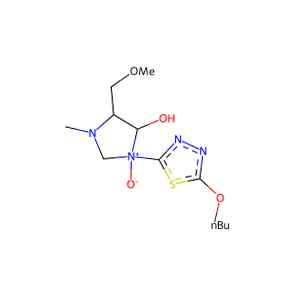 CCCCOc1nnc([N+]2([O-])CN(C)C(COC)C2O)s1